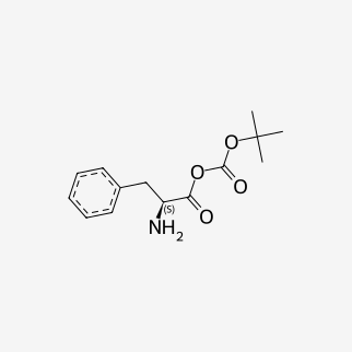 CC(C)(C)OC(=O)OC(=O)[C@@H](N)Cc1ccccc1